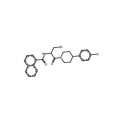 CC(C)CC(NC(=O)c1cccc2ccccc12)C(=O)N1CCC(c2ccc(Cl)cc2)CC1